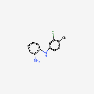 N#Cc1ccc(Nc2ccccc2N)cc1Cl